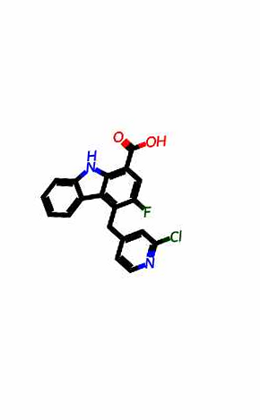 O=C(O)c1cc(F)c(Cc2ccnc(Cl)c2)c2c1[nH]c1ccccc12